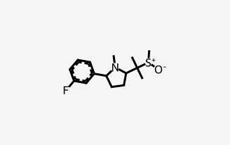 CN1C(c2cccc(F)c2)CCC1C(C)(C)[S+](C)[O-]